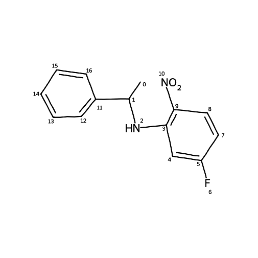 CC(Nc1cc(F)ccc1[N+](=O)[O-])c1ccccc1